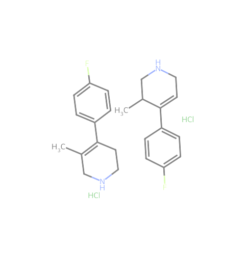 CC1=C(c2ccc(F)cc2)CCNC1.CC1CNCC=C1c1ccc(F)cc1.Cl.Cl